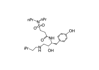 CCCN(CCC)S(=O)(=O)CCC(=O)N[C@@H](Cc1ccc(O)cc1)[C@H](O)CNCCC(C)C